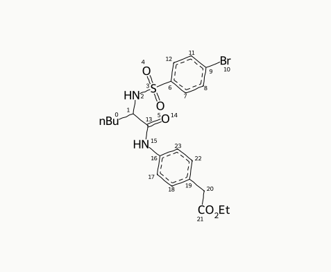 CCCCC(NS(=O)(=O)c1ccc(Br)cc1)C(=O)Nc1ccc(CC(=O)OCC)cc1